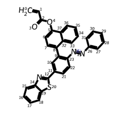 C=CC(=O)Oc1ccc(-c2cc(-c3nc4ccccc4s3)ccc2/N=N/c2ccccc2)c2ccccc12